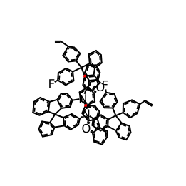 C=Cc1ccc(C2(c3ccc(F)cc3)c3ccccc3-c3ccc(N(c4ccc5c(c4)C4(c6ccccc6-5)c5ccccc5-c5ccc(N(c6ccc7c(c6)C(c6ccc(F)cc6)(c6ccc(C=C)cc6)c6ccccc6-7)c6ccc7c(c6)oc6ccccc67)cc54)c4ccc5c(c4)oc4ccccc45)cc32)cc1